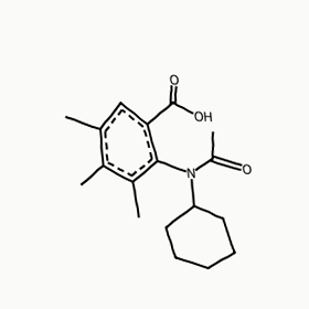 CC(=O)N(c1c(C(=O)O)cc(C)c(C)c1C)C1CCCCC1